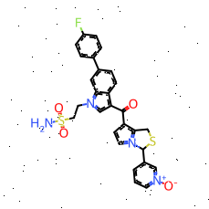 NS(=O)(=O)CCn1cc(C(=O)c2ccn3c2CSC3c2ccc[n+]([O-])c2)c2ccc(-c3ccc(F)cc3)cc21